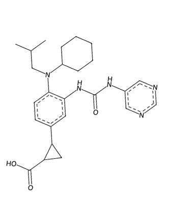 CC(C)CN(c1ccc(C2CC2C(=O)O)cc1NC(=O)Nc1cncnc1)C1CCCCC1